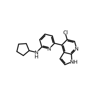 Clc1cnc2[nH]ccc2c1-c1cccc(NC2CCCC2)n1